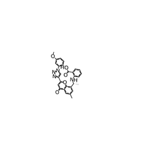 COc1cccc(-n2cc(-c3cc(=O)c4cc(C)cc([C@@H](C)Nc5ccccc5C(=O)O)c4o3)nn2)c1